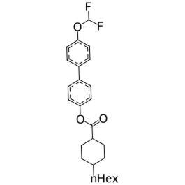 CCCCCCC1CCC(C(=O)Oc2ccc(-c3ccc(OC(F)F)cc3)cc2)CC1